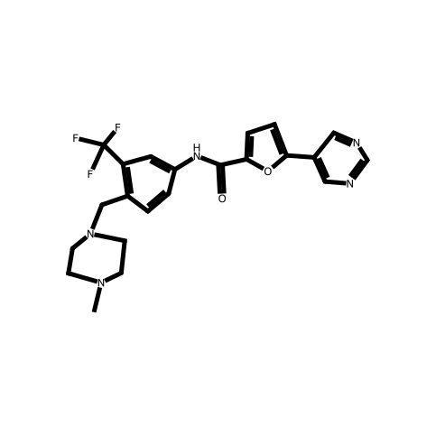 CN1CCN(Cc2ccc(NC(=O)c3ccc(-c4cncnc4)o3)cc2C(F)(F)F)CC1